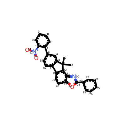 CC1(C)c2cc(-c3ccccc3[N+](=O)[O-])ccc2-c2ccc3oc(-c4ccccc4)nc3c21